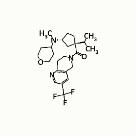 CC(C)[C@]1(C(=O)N2CCc3ncc(C(F)(F)F)cc3C2)CC[C@@H](N(C)C2CCOCC2)C1